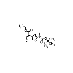 CCOC(=O)/C(=C/Cl)c1csc(NC(=O)OC(C)(C)C)n1